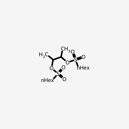 CCCCCCS(=O)(=O)OC(C)C(C)OS(=O)(=O)CCCCCC